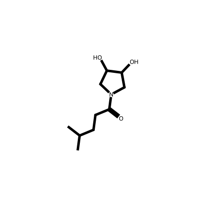 CC(C)CCC(=O)N1CC(O)C(O)C1